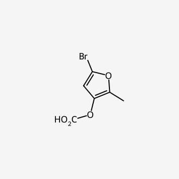 Cc1oc(Br)cc1OC(=O)O